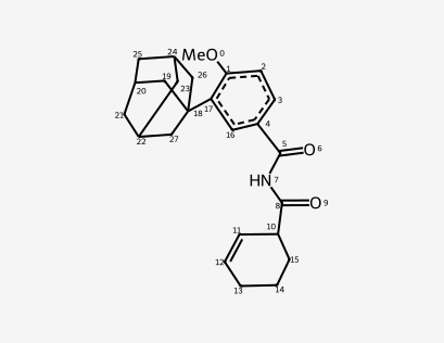 COc1ccc(C(=O)NC(=O)C2C=CCCC2)cc1C12CC3CC(CC(C3)C1)C2